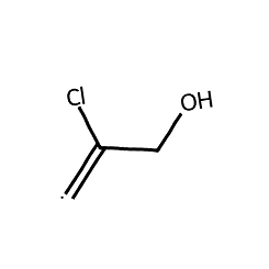 [CH]=C(Cl)CO